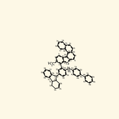 Cc1ccc2c(sc3ccc4ccc5ccccc5c4c32)c1-c1cc(N2c3ccccc3C3CCC=CC32)ccc1Nc1ccc(-c2ccccc2)cc1